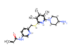 C=CC(=O)Nc1ccc(CSc2nc(N3CCC(N)CC3)c(C#N)c(CC)c2C#N)nc1